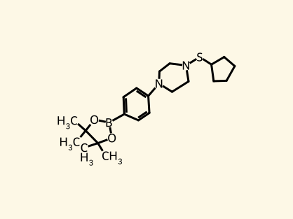 CC1(C)OB(c2ccc(N3CCN(SC4CCCC4)CC3)cc2)OC1(C)C